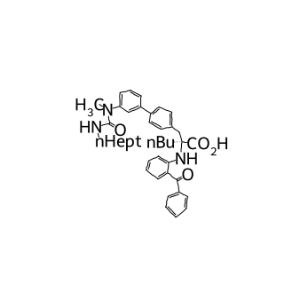 CCCCCCCNC(=O)N(C)c1cccc(-c2ccc(C[C@](CCCC)(Nc3ccccc3C(=O)c3ccccc3)C(=O)O)cc2)c1